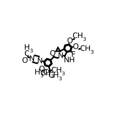 CCOc1cc2c(c(F)c1OCC)C(=N)N(CC(=O)c1cc(N3CCN(C(C)=O)CC3)c(OC)c(C(C)(C)C)c1)C21CC1